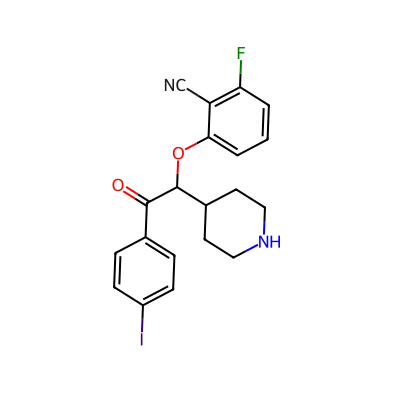 N#Cc1c(F)cccc1OC(C(=O)c1ccc(I)cc1)C1CCNCC1